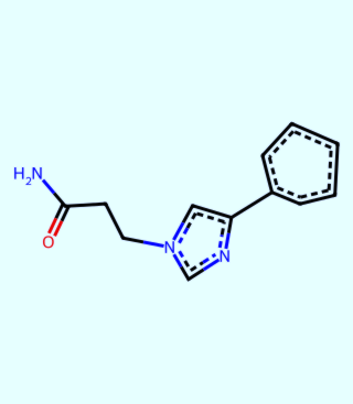 NC(=O)CCn1cnc(-c2ccccc2)c1